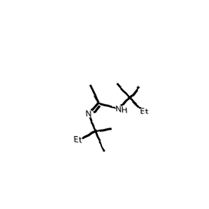 CCC(C)(C)N=C(C)NC(C)(C)CC